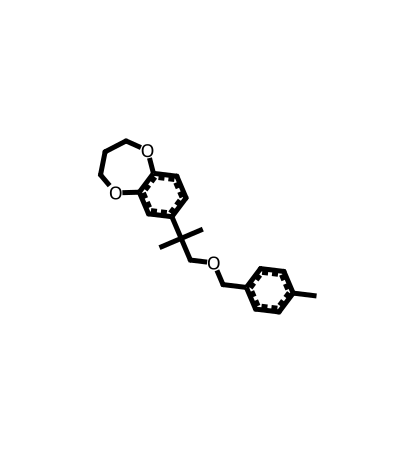 Cc1ccc(COCC(C)(C)c2ccc3c(c2)OCCCO3)cc1